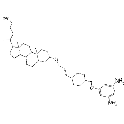 CC(C)CCCC(C)C1CCC2C3CCC4CC(OC/C=C/C5CCC(COc6cc(N)cc(N)c6)CC5)CCC4(C)C3CCC12C